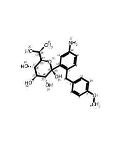 COc1ccc(Cc2ccc(N)cc2[C@@]2(O)O[C@H]([C@H](C)O)[C@@H](O)[C@H](O)[C@H]2O)cc1